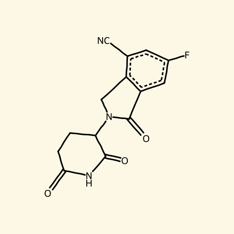 N#Cc1cc(F)cc2c1CN(C1CCC(=O)NC1=O)C2=O